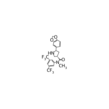 CN(C(=O)[C@H]1CNC(c2ccc3c(c2)OCO3)C1)c1cc(C(F)(F)F)cc(C(F)(F)F)c1